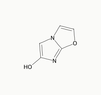 Oc1cn2ccoc2n1